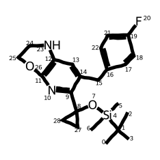 CC(C)(C)[Si](C)(C)OC1(c2nc3c(cc2Cc2ccc(F)cc2)NCCO3)CC1